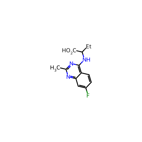 CCC(Nc1nc(C)nc2cc(F)ccc12)C(=O)O